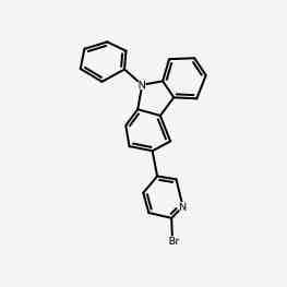 Brc1ccc(-c2ccc3c(c2)c2ccccc2n3-c2ccccc2)cn1